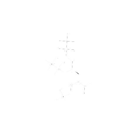 CC(C)[C@@H](C[C@H](CO[Si](C)(C)C(C)(C)C)O[Si](C)(C)C(C)(C)C)N[S@+]([O-])C(C)(C)C